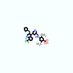 Cc1cc(C(=O)O)c(C)cc1NCc1cncc(-c2c(Cc3ccccc3)cnc3c(C(F)(F)F)cccc23)c1